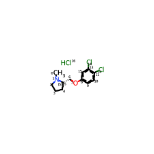 CN1CCC[C@H]1COc1ccc(Cl)c(Cl)c1.Cl